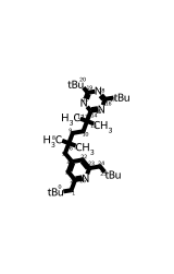 CC(C)(C)Cc1cc(CC(C)(C)CCC(C)(C)c2nc(C(C)(C)C)nc(C(C)(C)C)n2)cc(CC(C)(C)C)n1